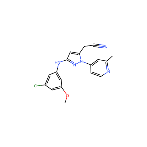 COc1cc(Cl)cc(Nc2cc(CC#N)n(-c3ccnc(C)c3)n2)c1